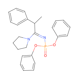 CC(/C(=N/P(=O)(Oc1ccccc1)Oc1ccccc1)N1CCCC1)c1ccccc1